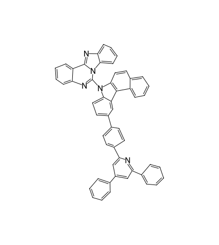 c1ccc(-c2cc(-c3ccccc3)nc(-c3ccc(-c4ccc5c(c4)c4c6ccccc6ccc4n5-c4nc5ccccc5c5nc6ccccc6n45)cc3)c2)cc1